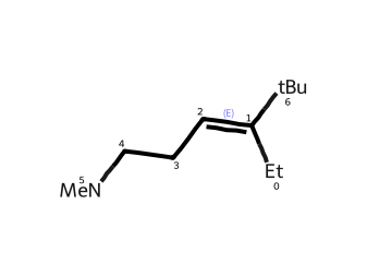 CC/C(=C\CCNC)C(C)(C)C